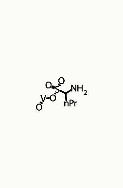 CCCC(N)S(=O)(=O)[O][V]=[O]